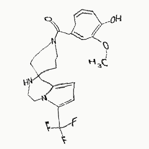 COc1cc(C(=O)N2CCC3(CC2)NCCn2c(C(F)(F)F)ccc23)ccc1O